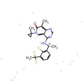 Cc1c(=O)n(C2(C)CC2)cc2c(N[C@H](C)c3cccc(C(C)(F)F)c3F)ncnc12